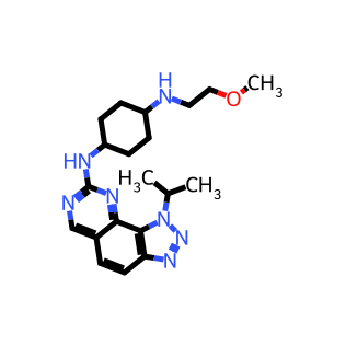 COCCNC1CCC(Nc2ncc3ccc4nnn(C(C)C)c4c3n2)CC1